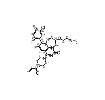 C=CC(=O)N1CCN(c2nc(=O)n3c4c(c(-c5cc(Cl)c(F)cc5F)c(C)cc24)SCC(OCCN)C3)CC1